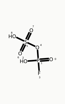 O=P(O)(F)OS(=O)(=O)O